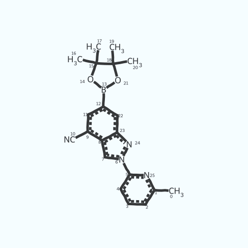 Cc1cccc(-n2cc3c(C#N)cc(B4OC(C)(C)C(C)(C)O4)cc3n2)n1